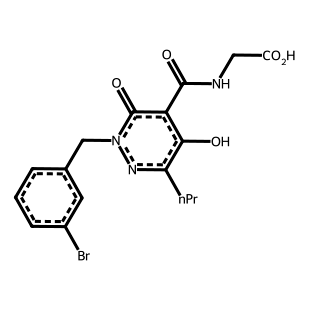 CCCc1nn(Cc2cccc(Br)c2)c(=O)c(C(=O)NCC(=O)O)c1O